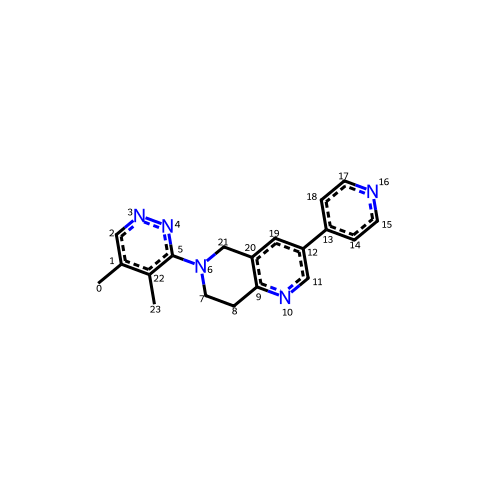 Cc1cnnc(N2CCc3ncc(-c4ccncc4)cc3C2)c1C